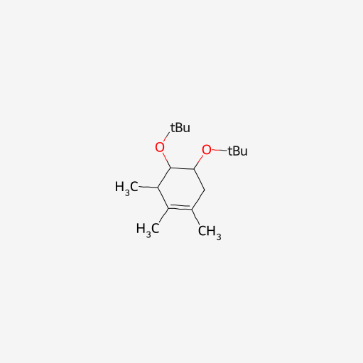 CC1=C(C)C(C)C(OC(C)(C)C)C(OC(C)(C)C)C1